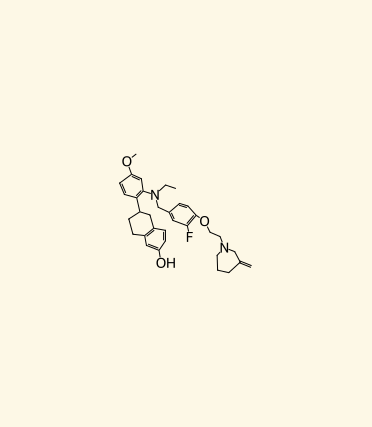 C=C1CCCN(CCOc2ccc(CN(CC)c3cc(OC)ccc3C3CCc4cc(O)ccc4C3)cc2F)C1